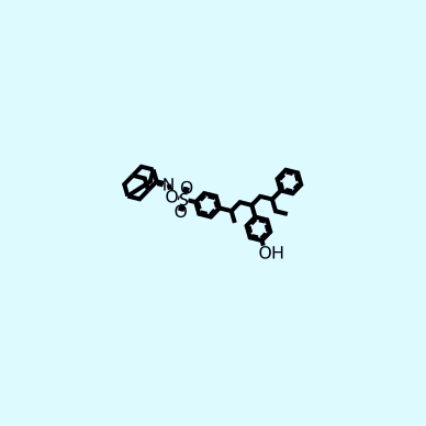 CCC(CC(CC(C)c1ccc(S(=O)(=O)ON=C2C3CC4CC(C3)CC2C4)cc1)c1ccc(O)cc1)c1ccccc1